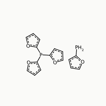 Pc1ccco1.c1coc(P(c2ccco2)c2ccco2)c1